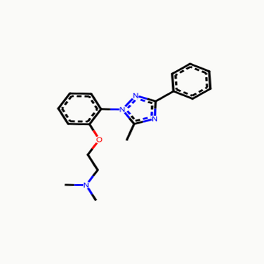 Cc1nc(-c2ccccc2)nn1-c1ccccc1OCCN(C)C